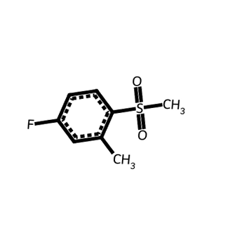 Cc1cc(F)ccc1S(C)(=O)=O